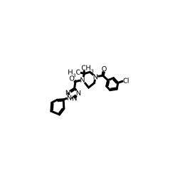 CC1(C)CN(C(=O)c2cccc(Cl)c2)CCN1C(=O)c1nnn(-c2ccccc2)n1